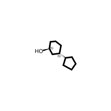 O[C@H]1CCC[C@H](C2CCCC2)C1